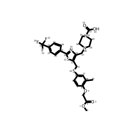 COC(=O)COc1ccc(SCc2sc(-c3ccc(C(F)(F)F)cc3)nc2CN2CCN(C(=O)O)CC2)cc1C